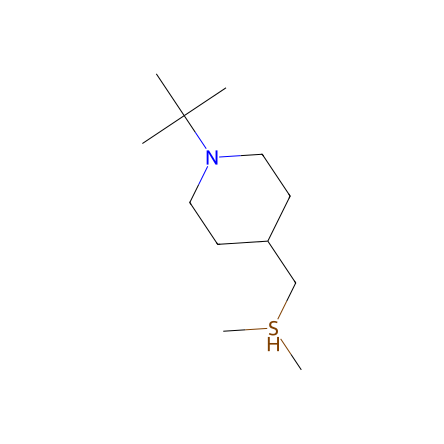 C[SH](C)CC1CCN(C(C)(C)C)CC1